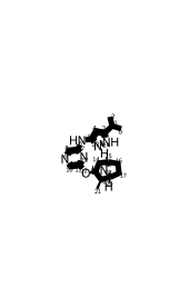 CC(C)c1cc(Nc2cncc(O[C@H]3C[C@H]4CC[C@H](N4)[C@H]3C)n2)n[nH]1